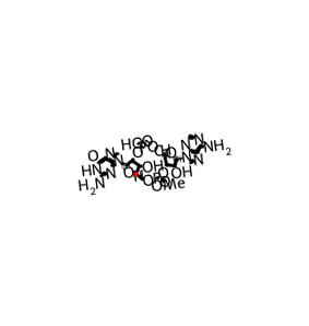 COP1(=O)OC[C@H]2O[C@@H](n3cnc4c(=O)[nH]c(N)nc43)C(OP(=O)(O)OC[C@H]3O[C@@H](n4cnc5c(N)ncnc54)C(O)C3O1)C2O